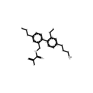 C=C(C)C(=O)OCc1cc(CCC)ccc1-c1ccc(CCCO)cc1CC